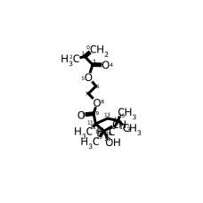 C=C(C)C(=O)OCCOC(=O)C(C)(CC(C)(C)C)C(C)(C)O